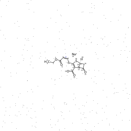 CCOC(=O)/C=C\SC1=C(C(=O)[O-])N2C(=O)C[C@@H]2S1.[Na+]